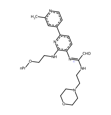 CCCOCCNc1nc(-c2ccnc(C)c2)ccc1/N=C(\C=O)NCCN1CCOCC1